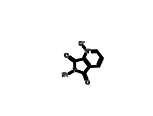 CC(C)N1C(=O)c2ccc[n+]([O-])c2C1=O